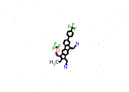 C=CC1=C(/C=C\OC(F)(F)F)c2cc3c(cc2/C1=C/C#N)/C(=C/C#N)c1cc(-c2ccc(C(F)(F)F)cc2)ccc1-3